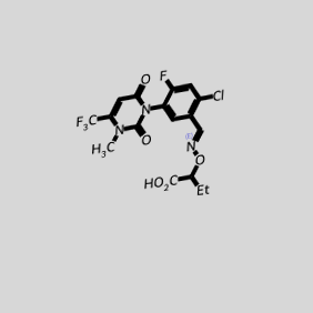 CCC(O/N=C/c1cc(-n2c(=O)cc(C(F)(F)F)n(C)c2=O)c(F)cc1Cl)C(=O)O